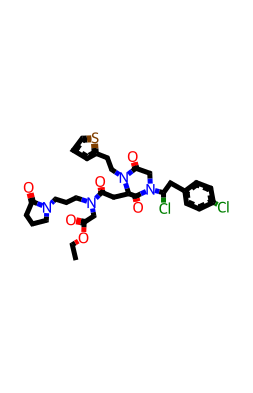 CCOC(=O)CN(CCCN1CCCC1=O)C(=O)CC1C(=O)N(C(Cl)Cc2ccc(Cl)cc2)CC(=O)N1CCc1cccs1